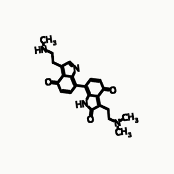 CNCCC1=C2C(=O)C=CC(C3=C4NC(=O)C(CCN(C)C)=C4C(=O)C=C3)=C2N=C1